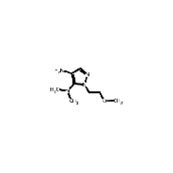 COCCn1ncc(N)c1N(C)C